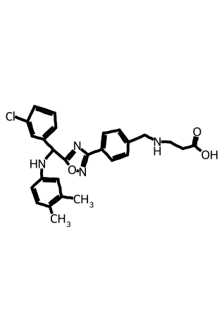 Cc1ccc(NC(c2cccc(Cl)c2)c2nc(-c3ccc(CNCCC(=O)O)cc3)no2)cc1C